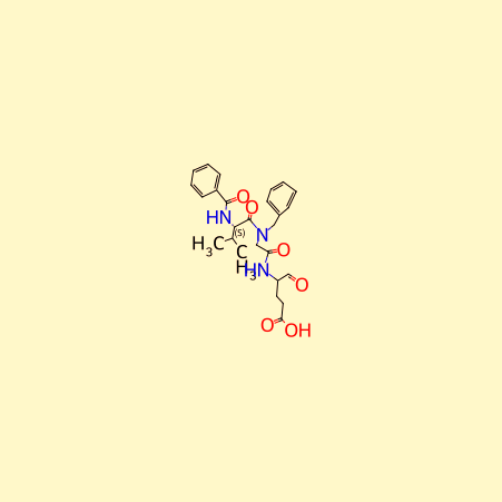 CC(C)[C@H](NC(=O)c1ccccc1)C(=O)N(CC(=O)NC(C=O)CCC(=O)O)Cc1ccccc1